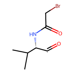 CC(C)[C@@H]([C]=O)NC(=O)CBr